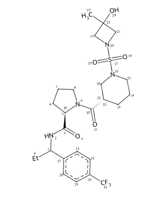 CCC(NC(=O)[C@H]1CCCN1C(=O)[C@H]1CCCN(S(=O)(=O)N2CC(C)(O)C2)C1)c1ccc(C(F)(F)F)cc1